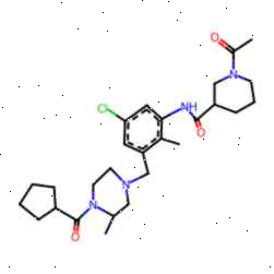 CC(=O)N1CCCC(C(=O)Nc2cc(Cl)cc(CN3CCN(C(=O)C4CCCC4)C(C)C3)c2C)C1